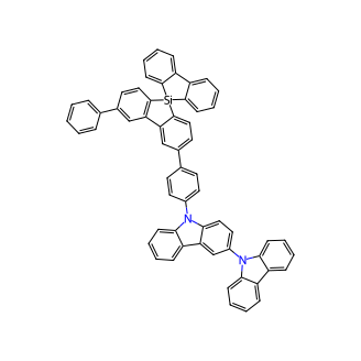 c1ccc(-c2ccc3c(c2)-c2cc(-c4ccc(-n5c6ccccc6c6cc(-n7c8ccccc8c8ccccc87)ccc65)cc4)ccc2[Si]32c3ccccc3-c3ccccc32)cc1